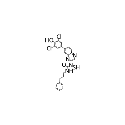 O=C(NCCCc1ccccc1)N(S)c1cnc2ccc(-c3cc(Cl)c(O)c(Cl)c3)cc2n1